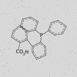 O=C(O)c1ccccc1-c1ccccc1P(c1ccccc1)c1ccccc1